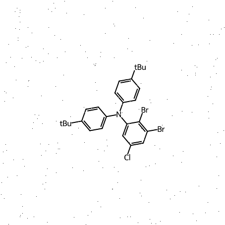 CC(C)(C)c1ccc(N(c2ccc(C(C)(C)C)cc2)c2cc(Cl)cc(Br)c2Br)cc1